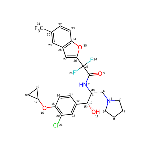 O=C(N[C@H](CN1CCCC1)[C@H](O)c1ccc(OC2CC2)c(Cl)c1)C(F)(F)c1cc2cc(C(F)(F)F)ccc2o1